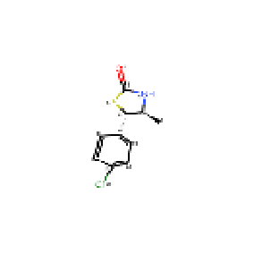 C[C@@H]1NC(=O)S[C@H]1c1ccc(Cl)cc1